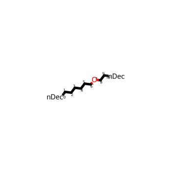 CCCCCCCCCCCCCCC[CH]OCCCCCCCCCCCC